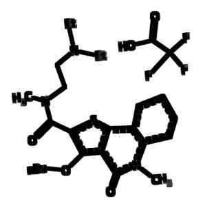 CCCCOc1c(C(=O)N(C)CCN(CC)CC)sc2c1c(=O)n(C)c1ccccc21.O=C(O)C(F)(F)F